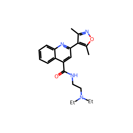 CCN(CC)CCNC(=O)c1cc(-c2c(C)noc2C)nc2ccccc12